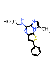 Cc1cnc2c(NCC(=O)O)nc3cc(-c4ccccc4)sc3n12